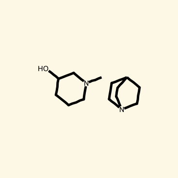 C1CN2CCC1CC2.CN1CCCC(O)C1